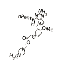 CCCCCNc1nc(N)nc2ccn(Cc3cc(OCC(=O)OCCN4CCN(C)CC4)ccc3OC)c12